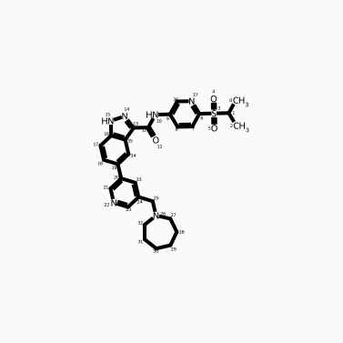 CC(C)S(=O)(=O)c1ccc(NC(=O)c2n[nH]c3ccc(-c4cncc(CN5CCCCCC5)c4)cc23)cn1